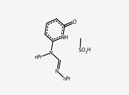 CCCN=CN(CCC)c1cccc(=O)[nH]1.CS(=O)(=O)O